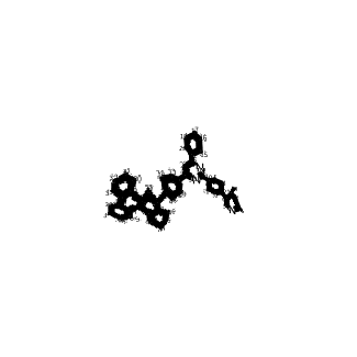 Cc1ccncc1-c1ccc(-c2nc(-c3ccccc3)cc(-c3ccc(-c4cc5c6ccccc6c6ccccc6c5c5ccccc45)cc3)n2)cc1